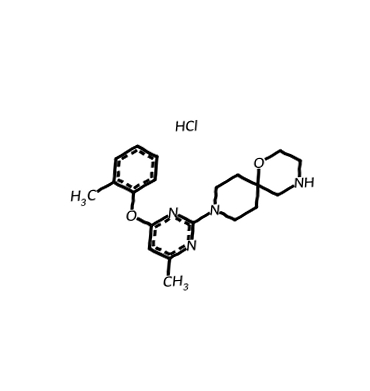 Cc1cc(Oc2ccccc2C)nc(N2CCC3(CC2)CNCCO3)n1.Cl